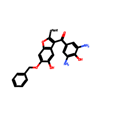 CCCCCc1oc2cc(OCc3ccccc3)c(O)cc2c1C(=O)c1cc(N)c(O)c(N)c1